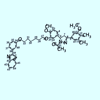 COc1ccc(C2CC(c3cc(C)c(C)c(OC)c3)=NN2C(C)=O)cc1OCCCCCCOc1cccc(-c2nc3ccccc3s2)c1